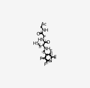 CC(=O)CNC(=O)CNC(=O)[C@H](CS)NSc1c(F)c(F)nc(F)c1F